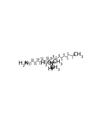 CCCCCCCCCCCCCCCCCCN.CN(C)C.I